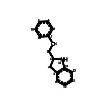 c1ccc(OCC2Cc3ccccc3N2)cc1